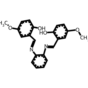 COc1ccc(O)c(C=Nc2ccccc2N=Cc2cc(OC)ccc2O)c1